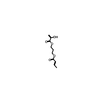 C=C(O)C(=O)OCCCOC(=O)C=CC